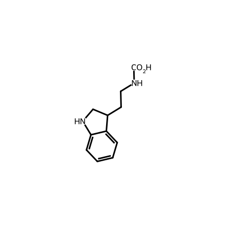 O=C(O)NCCC1CNc2ccccc21